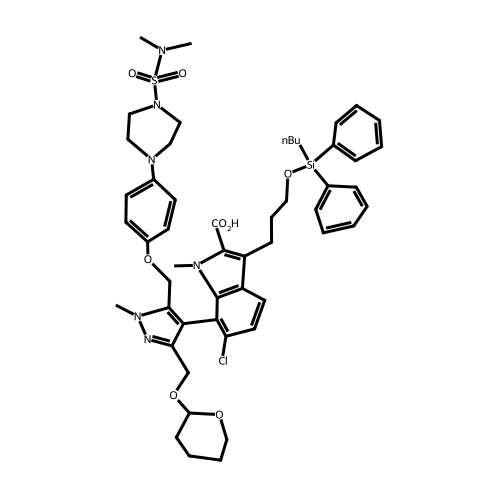 CCCC[Si](OCCCc1c(C(=O)O)n(C)c2c(-c3c(COC4CCCCO4)nn(C)c3COc3ccc(N4CCN(S(=O)(=O)N(C)C)CC4)cc3)c(Cl)ccc12)(c1ccccc1)c1ccccc1